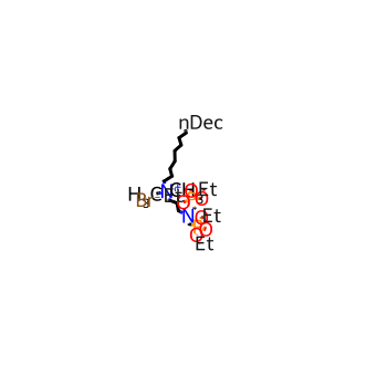 CCCCCCCCCCCCCCCCCC[N+](C)(C)CCCN(CP(=O)(OCC)OCC)CP(=O)(OCC)OCC.[Br-]